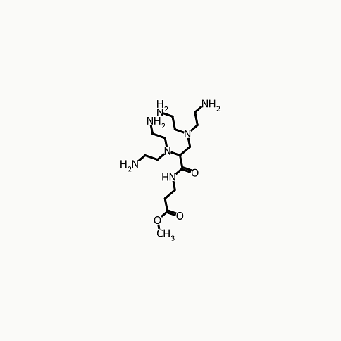 COC(=O)CCNC(=O)C(CN(CCN)CCN)N(CCN)CCN